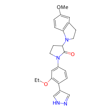 CCOc1cc(N2CCC(N3CCc4cc(OC)ccc43)C2=O)ccc1-c1cn[nH]c1